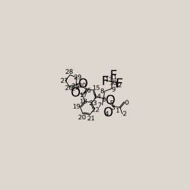 C=C(C)C(=O)OC(C)(CCC(F)(F)F)c1cc2c(c3ccccc13)OC1(CCCC1)O2